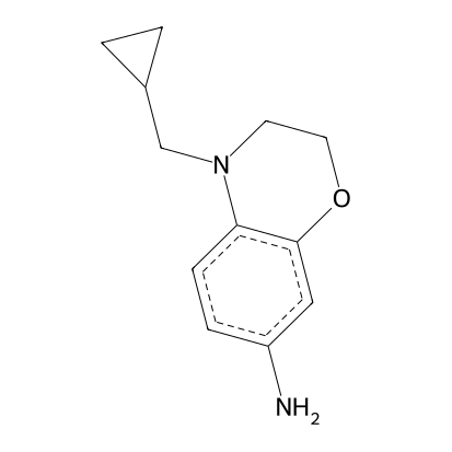 Nc1ccc2c(c1)OCCN2CC1CC1